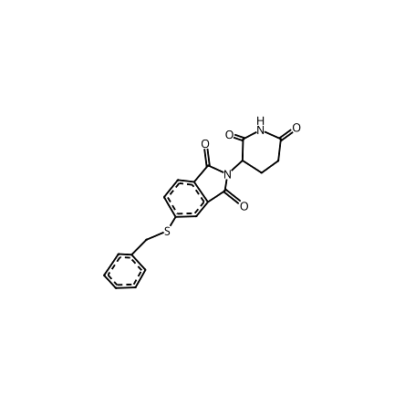 O=C1CCC(N2C(=O)c3ccc(SCc4ccccc4)cc3C2=O)C(=O)N1